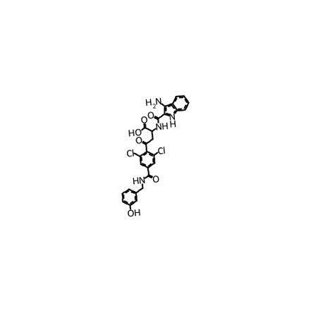 Nc1c(C(=O)NC(CC(=O)c2c(Cl)cc(C(=O)NCc3cccc(O)c3)cc2Cl)C(=O)O)[nH]c2ccccc12